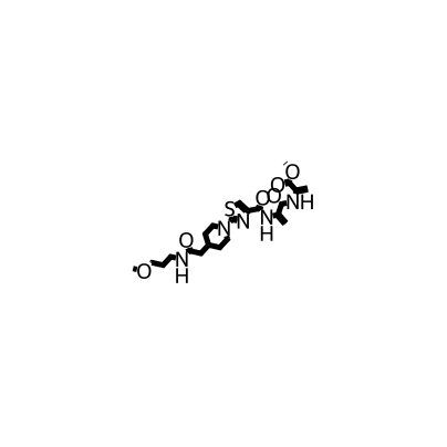 C=C(NC(=O)c1csc(N2CCC(CC(=O)NCCCOC)CC2)n1)C(=O)NC(=C)C(=O)OC